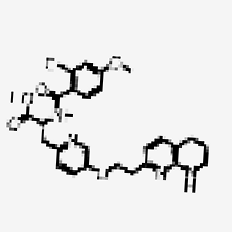 COc1ccc(C(=O)N[C@@H](Cc2ccc(OCCc3ccc4c(n3)NCCC4)cn2)C(=O)O)c(Cl)c1